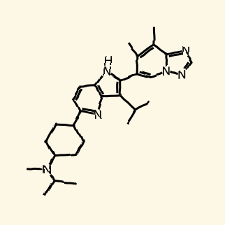 Cc1c(-c2[nH]c3ccc(C4CCC(N(C)C(C)C)CC4)nc3c2C(C)C)cn2ncnc2c1C